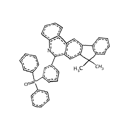 CC1(C)c2ccccc2-c2cc3c(cc21)c(-c1cccc(P(=O)(c2ccccc2)c2ccccc2)c1)nc1ccccc13